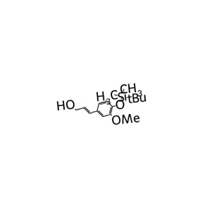 COc1cc(C=CCO)ccc1O[Si](C)(C)C(C)(C)C